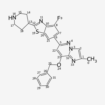 Cc1cn2nc(-c3cc(F)c4nc(C5CCNCC5)sc4c3)cc(OCc3ccccc3)c2n1